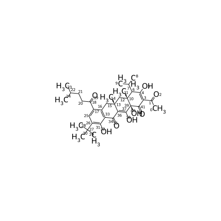 CC(=O)C1=C(O)C(C(C)C)[C@@]2(C)C[C@@]3(C)Cc4c(C(=O)CCC(C)C)cc(C(C)(C)C)c(O)c4C(=O)C3=C(O)[C@@]2(O)C1=O